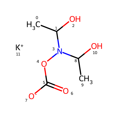 CC(O)N(OC(=O)[O-])C(C)O.[K+]